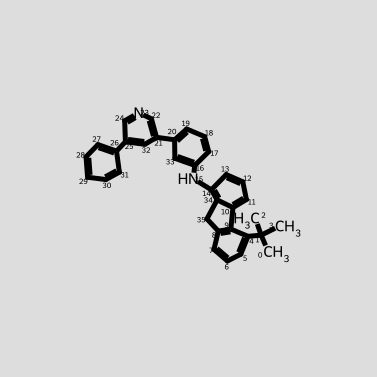 CC(C)(C)c1cccc2c1-c1cccc(Nc3cccc(-c4cncc(-c5ccccc5)c4)c3)c1C2